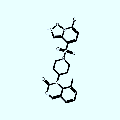 CC1=CC=CC2=COC(=O)N(C3CCN(S(=O)(=O)C4=CC=C(Cl)N5ONC=C45)CC3)C12